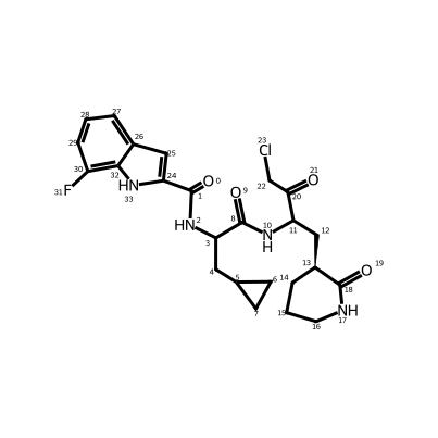 O=C(NC(CC1CC1)C(=O)NC(C[C@@H]1CCCNC1=O)C(=O)CCl)c1cc2cccc(F)c2[nH]1